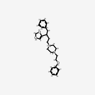 C1=C(C(CCN2CCN(CCOc3ccccc3)CC2)Cc2ccccc2)OCO1